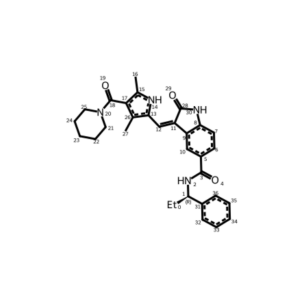 CC[C@@H](NC(=O)c1ccc2c(c1)C(=Cc1[nH]c(C)c(C(=O)N3CCCCC3)c1C)C(=O)N2)c1ccccc1